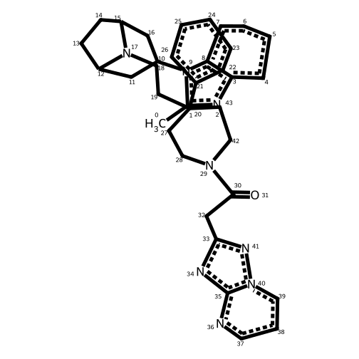 Cc1nc2ccccc2n1C1CC2CCC(C1)N2CCC1(c2ccccc2)CCN(C(=O)Cc2nc3ncccn3n2)CC1